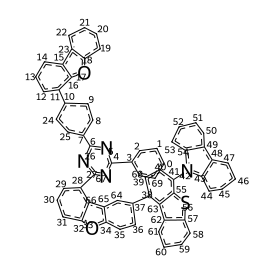 c1ccc(-c2nc(-c3ccc(-c4cccc5c4oc4ccccc45)cc3)nc(-c3cccc4oc5ccc(-c6ccc(-n7c8ccccc8c8ccccc87)c7sc8ccccc8c67)cc5c34)n2)cc1